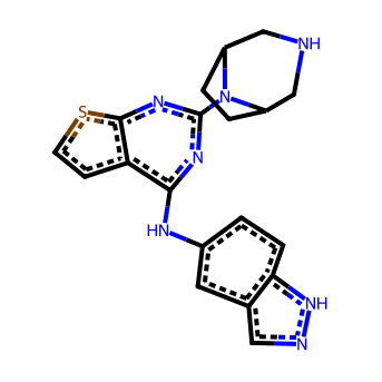 c1cc2c(Nc3ccc4[nH]ncc4c3)nc(N3C4CCC3CNC4)nc2s1